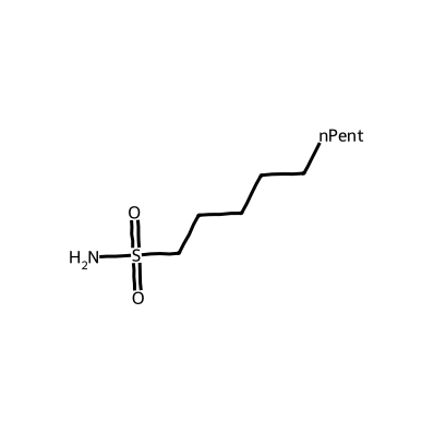 CCCCCCCCCCS(N)(=O)=O